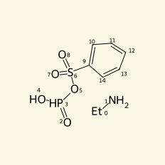 CCN.O=[PH](O)OS(=O)(=O)c1ccccc1